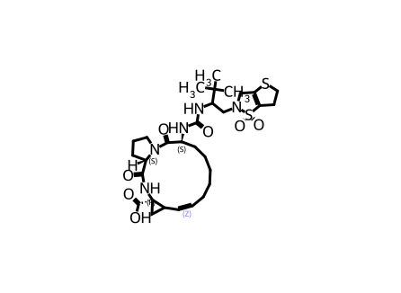 CC(C)(C)C(CN1CC2=C(CCS2)S1(=O)=O)NC(=O)N[C@H]1CCCCC/C=C\C2C[C@@]2(C(=O)O)NC(=O)[C@@H]2CCCN2C1=O